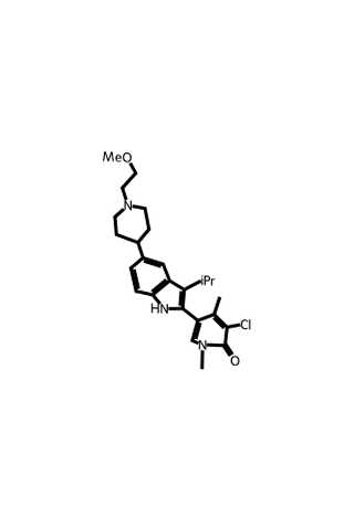 COCCN1CCC(c2ccc3[nH]c(-c4cn(C)c(=O)c(Cl)c4C)c(C(C)C)c3c2)CC1